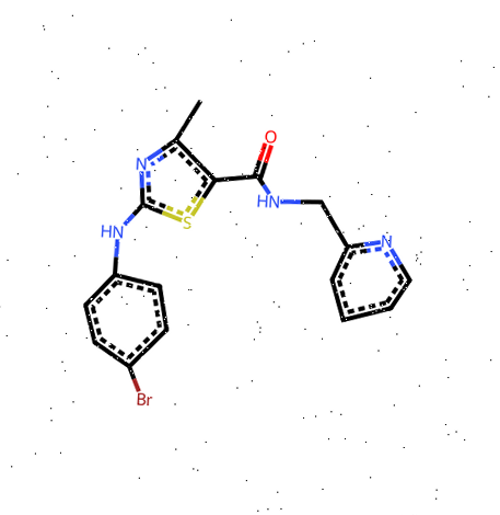 Cc1nc(Nc2ccc(Br)cc2)sc1C(=O)NCc1ccccn1